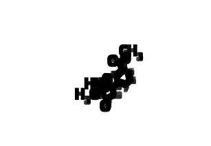 COC(=O)c1cccc(C2CC(=O)N(C)S2(=N)=O)c1